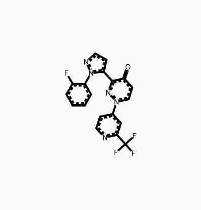 O=c1ccn(-c2ccnc(C(F)(F)F)c2)nc1-c1ccnn1-c1ccccc1F